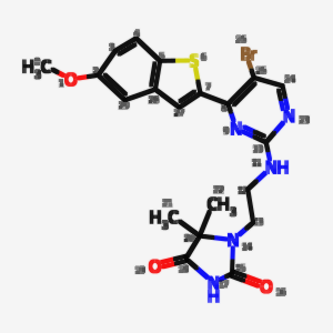 COc1ccc2sc(-c3nc(NCCN4C(=O)NC(=O)C4(C)C)ncc3Br)cc2c1